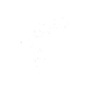 CC(C)CC(c1ccc(C(=O)NCCC(=O)O)nc1)n1cc2cc(-c3cc4ccccc4o3)ccc2n1